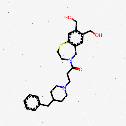 O=C(CCN1CCC(Cc2ccccc2)CC1)N1CCSc2cc(CO)c(CO)cc2C1